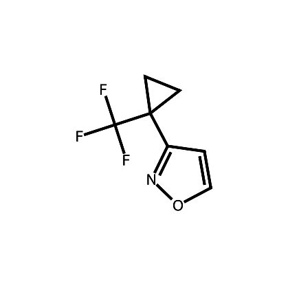 FC(F)(F)C1(c2ccon2)CC1